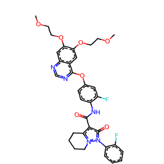 COCCOc1cc2ncnc(Oc3ccc(NC(=O)c4c5n(n(-c6ccccc6F)c4=O)CCCC5)c(F)c3)c2cc1OCCOC